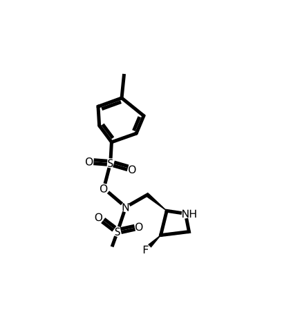 Cc1ccc(S(=O)(=O)ON(C[C@H]2NC[C@H]2F)S(C)(=O)=O)cc1